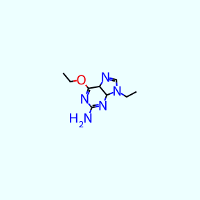 CCOC1=NC(N)=NC2C1N=CN2CC